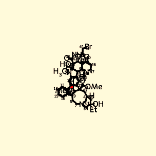 CC[C@]1(O)C[C@H]2CN(CCc3c([nH]c4ccccc34)[C@@](C(=O)OC)(c3cc4c(cc3OC)N(C)[C@H]3[C@@](O)(C(N)=O)[C@H](OC(=O)CBr)[C@]5(CC)C=CCN6CC[C@]43[C@@H]65)C2)C1